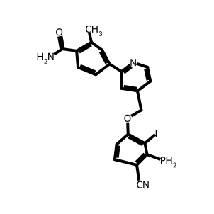 Cc1cc(-c2cc(COc3ccc(C#N)c(P)c3I)ccn2)ccc1C(N)=O